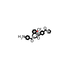 Nc1ccc(C(=O)N2CC(=O)[N+](Cc3ccc(C(=O)N4CC=CC4)cc3)(OC(=O)C(F)(F)F)c3ccccc3C2)cc1